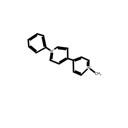 C[n+]1ccc(-c2cc[n+](-c3ccccc3)cc2)cc1